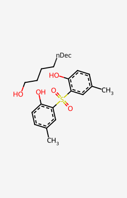 CCCCCCCCCCCCCCO.Cc1ccc(O)c(S(=O)(=O)c2cc(C)ccc2O)c1